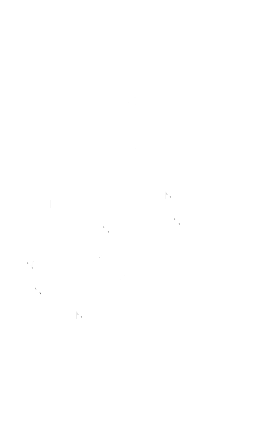 CCOc1ccc(Cl)cc1-c1nn(C2CCCCC2)cc1NC(=O)c1cnn2cccnc12